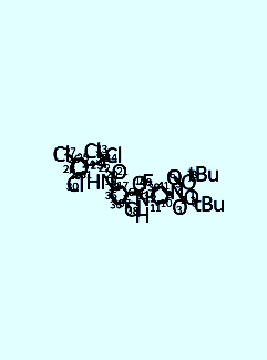 CC(C)(C)OC(=O)N(C(=O)OC(C)(C)C)c1ccc(NC(=O)c2cc(NC(=O)[C@@H]3[C@@H](c4cc(Cl)cc(Cl)c4)C3(Cl)Cl)ccc2Cl)c(F)c1